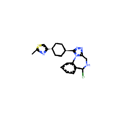 Cc1nc([C@H]2CC[C@H](c3nnc4n3-c3ccccc3C(Cl)NC4)CC2)cs1